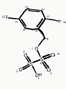 O=S(=O)(O)S(=O)(=O)OCc1cc(F)ccc1F